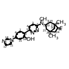 CN(c1ccc(-c2ccc(-n3ccnc3)cc2O)nn1)[C@H]1C[C@]2(C)C[C@H](F)[C@](C)(C1)C2